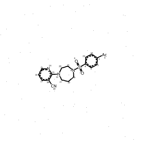 CC(=O)c1ccc(S(=O)(=O)N2CCCN(c3ncccc3C#N)CC2)cc1